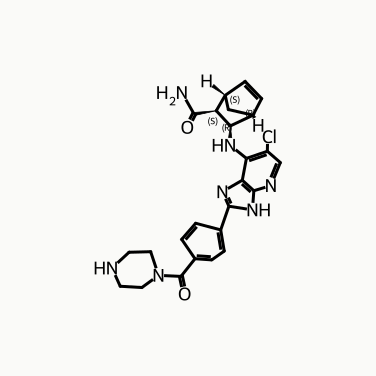 NC(=O)[C@@H]1[C@H](Nc2c(Cl)cnc3[nH]c(-c4ccc(C(=O)N5CCNCC5)cc4)nc23)[C@H]2C=C[C@@H]1C2